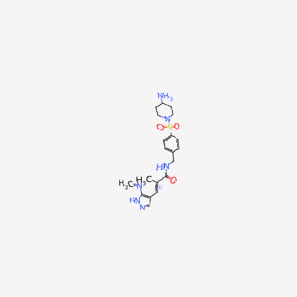 C=Nc1[nH]ncc1/C=C(\C)C(=O)NCc1ccc(S(=O)(=O)N2CCC(N)CC2)cc1